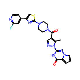 Cc1c(C(=O)N2CCN(c3nc(-c4ccnc(F)c4)cs3)CC2)cnn1-c1nn2cccc2c(=O)[nH]1